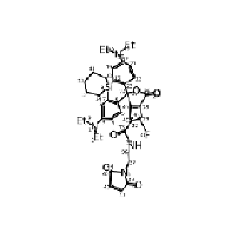 CCN(CC)c1ccc2c(c1)[Si]1(CCCCC1)c1cc(N(CC)CC)ccc1C21OC(=O)c2cc(F)c(C(=O)NCCN3C(=O)C=CC3=O)cc21